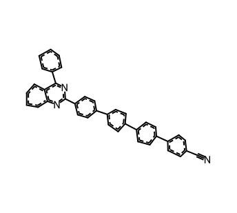 N#Cc1ccc(-c2ccc(-c3ccc(-c4ccc(-c5nc(-c6ccccc6)c6ccccc6n5)cc4)cc3)cc2)cc1